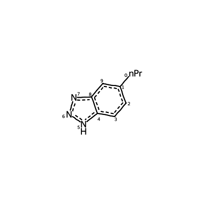 [CH2]CCc1ccc2[nH]nnc2c1